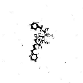 COC(=O)C(CCCC1CCCCC1)CP(=O)(O)CCN(C)C(=O)OCc1ccccc1